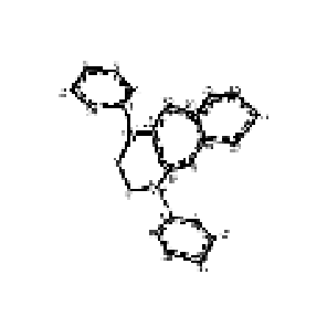 c1ccc(N2CCN(c3ccccc3)c3cc4ccccc4cc32)cc1